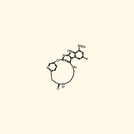 CNc1cc(F)cc2c1[nH]c1nc3nc(c12)NCCCCNC(=O)CSc1ccc(cn1)O3